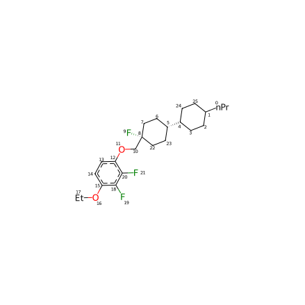 CCCC1CCC([C@H]2CC[C@](F)(COc3ccc(OCC)c(F)c3F)CC2)CC1